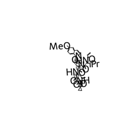 C=CC[C@](C)(NC(=O)[C@@H]1C[C@@H](Oc2nccc3cc(OC)ccc23)CN1C(=O)C(NC(=O)C=C)C(C)C)C(=O)NS(=O)(=O)C1CC1